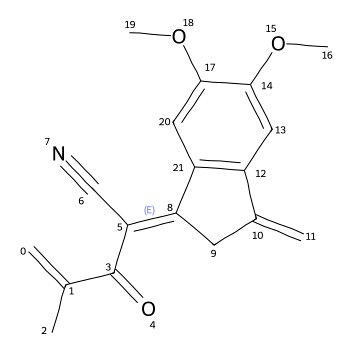 C=C(C)C(=O)/C(C#N)=C1\CC(=C)c2cc(OC)c(OC)cc21